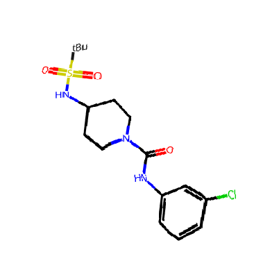 CC(C)(C)S(=O)(=O)NC1CCN(C(=O)Nc2cccc(Cl)c2)CC1